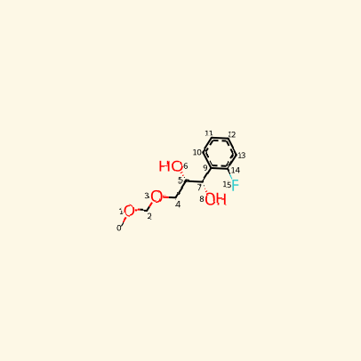 COCOC[C@H](O)[C@@H](O)c1ccccc1F